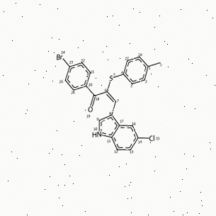 Cc1ccc(S/C(=C/c2c[nH]c3ccc(Cl)cc23)C(=O)c2ccc(Br)cc2)cc1